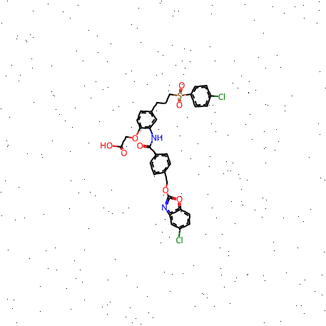 O=C(O)COc1ccc(CCCS(=O)(=O)c2ccc(Cl)cc2)cc1NC(=O)c1ccc(COc2nc3cc(Cl)ccc3o2)cc1